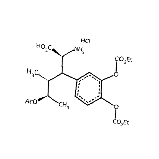 CCOC(=O)Oc1ccc(C([C@H](N)C(=O)O)[C@@H](C)[C@@H](C)OC(C)=O)cc1OC(=O)OCC.Cl